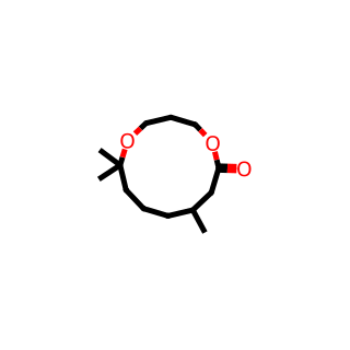 CC1CCCC(C)(C)OCCCOC(=O)C1